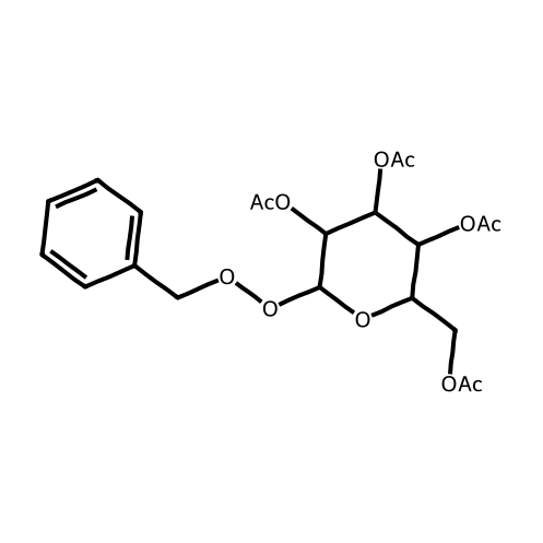 CC(=O)OCC1OC(OOCc2ccccc2)C(OC(C)=O)C(OC(C)=O)C1OC(C)=O